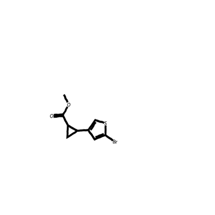 COC(=O)C1CC1c1csc(Br)c1